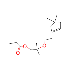 CCC(=O)OCC(C)(C)OCCC1=CCC(C)(C)C1